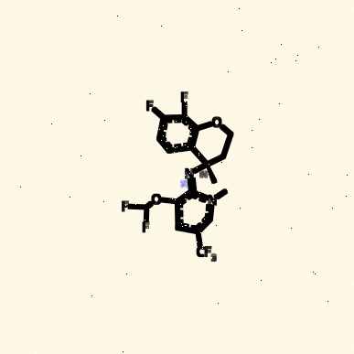 Cn1cc(C(F)(F)F)cc(OC(F)F)/c1=N/[C@@]1(C)CCOc2c1ccc(F)c2F